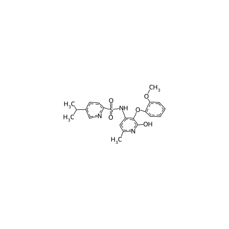 COc1ccccc1Oc1c(NS(=O)(=O)c2ccc(C(C)C)cn2)cc(C)nc1O